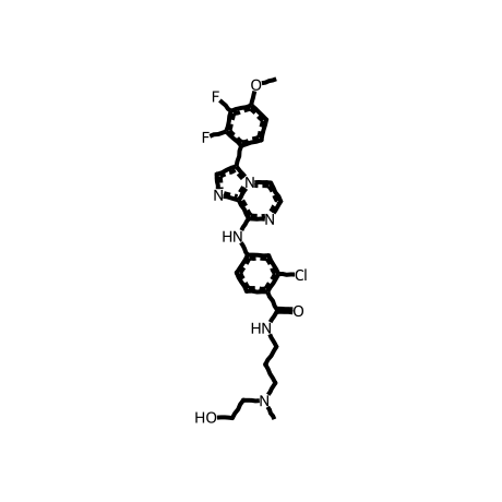 COc1ccc(-c2cnc3c(Nc4ccc(C(=O)NCCCN(C)CCO)c(Cl)c4)nccn23)c(F)c1F